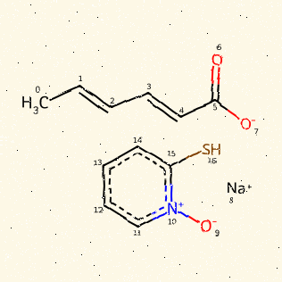 C/C=C/C=C/C(=O)[O-].[Na+].[O-][n+]1ccccc1S